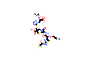 C#CCON=C(C(=O)NC1C(=O)N2CC(CSc3nnnn3CC(=NOC)C(=O)O)(C(=O)O)CS[C@H]12)c1csc(NC(=O)C(F)(F)F)n1